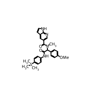 COc1ccc(C(C(=O)Nc2ccc(S(C)(C)C)cc2)N(C)C(=O)c2cnc3[nH]ccc3c2)cc1